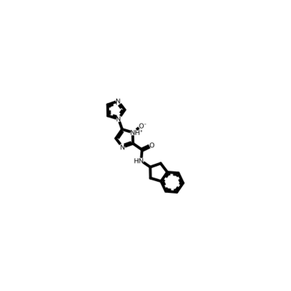 O=C(NC1Cc2ccccc2C1)C1=NC=C(n2ccnc2)[NH+]1[O-]